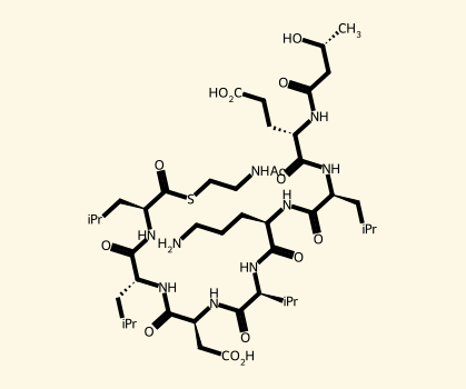 CC(=O)NCCSC(=O)[C@H](CC(C)C)NC(=O)[C@@H](CC(C)C)NC(=O)[C@H](CC(=O)O)NC(=O)[C@@H](NC(=O)[C@@H](CCCN)NC(=O)[C@H](CC(C)C)NC(=O)[C@H](CCC(=O)O)NC(=O)C[C@@H](C)O)C(C)C